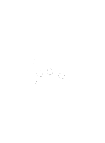 CC(C)Oc1nc2c(cc1Nc1nccc(-c3cc(C#N)c4c(c3)C(C)(O[Si](C)(C)C(C)(C)C)CN4)n1)CN(C1CC1)CC2